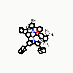 CC(C)(C)c1ccc(N2c3oc4cc5c(cc4c3B3c4c(cc6c(c42)C(C)(C)c2ccccc2-6)-c2cc(C46CC7CC(CC(C7)C4)C6)cc4c6cc(C78CC9CC(CC(C9)C7)C8)ccc6n3c24)C(C)(C)CCC5(C)C)c(-c2ccccc2)c1